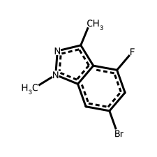 Cc1nn(C)c2cc(Br)cc(F)c12